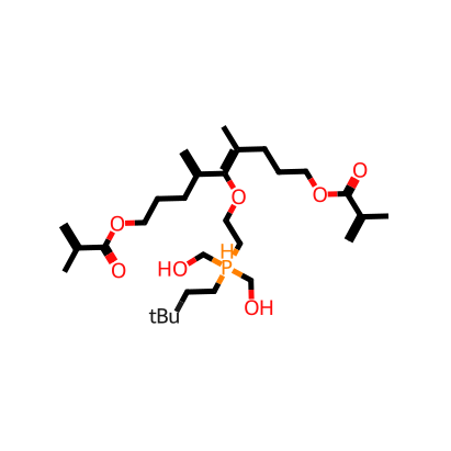 C=C(C)C(=O)OCCCC(=C)/C(OCC[PH](CO)(CO)CCC(C)(C)C)=C(\C)CCCOC(=O)C(=C)C